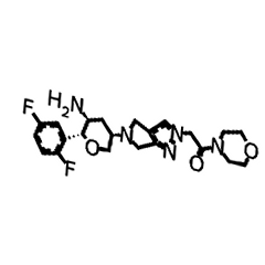 N[C@H]1C[C@@H](N2Cc3cn(CC(=O)N4CCOCC4)nc3C2)CO[C@@H]1c1cc(F)ccc1F